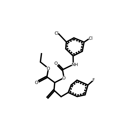 C=C(Cc1ccc(F)cc1)C(OC(=O)Nc1cc(Cl)cc(Cl)c1)C(=O)OCC